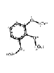 CCCCCCCCOc1cccc(OCCCCCCCC)c1OCCCCCCCC